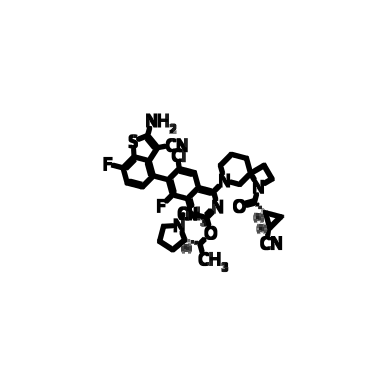 CC(Oc1nc(N2CCCC3(CCN3C(=O)[C@@H]3C[C@H]3C#N)C2)c2cc(Cl)c(-c3ccc(F)c4sc(N)c(C#N)c34)c(F)c2n1)[C@@H]1CCCN1C